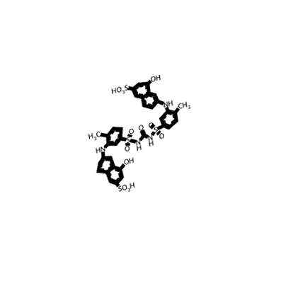 Cc1ccc(S(=O)(=O)NC(=O)NS(=O)(=O)c2ccc(C)c(Nc3ccc4cc(S(=O)(=O)O)cc(O)c4c3)c2)cc1Nc1ccc2cc(S(=O)(=O)O)cc(O)c2c1